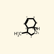 CC1CO[C@H]2CCC=CC12